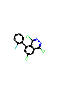 Fc1ccccc1-c1cc(Cl)cc2c(Cl)nnc(Cl)c12